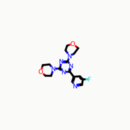 Fc1cncc(-c2nc(N3CCOCC3)nc(N3CCOCC3)n2)c1